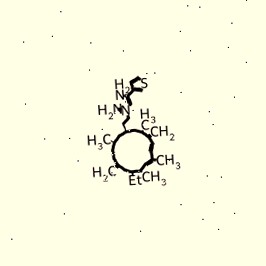 C=C1CC[C@H](C)C[C@@H](CCN(N)/C=C(\N)c2ccsc2)C[C@@H](C)C(=C)/C=C/C(C)=C/[C@H](C)[C@@H](CC)C1